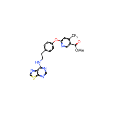 COC(=O)c1cnc(Oc2ccc(CCNc3ncnc4scnc34)cc2)cc1C(F)(F)F